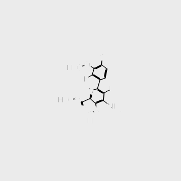 COC(=O)c1nc(-c2ccc(Cl)c(OC)c2F)c(F)c(N)c1SC